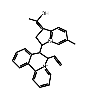 C=CC1C(C2C/C(=C(\C)O)c3ccc(C)c[n+]32)c2ccccc2-c2cccc[n+]21